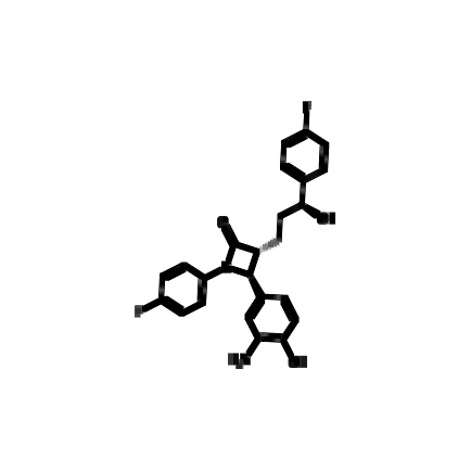 Nc1cc([C@@H]2[C@@H](CC[C@H](O)c3ccc(F)cc3)C(=O)N2c2ccc(F)cc2)ccc1O